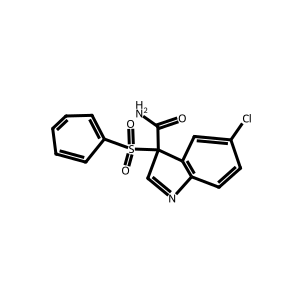 NC(=O)C1(S(=O)(=O)c2ccccc2)C=Nc2ccc(Cl)cc21